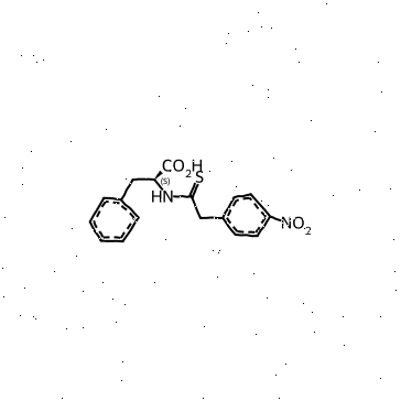 O=C(O)[C@H](Cc1ccccc1)NC(=S)Cc1ccc([N+](=O)[O-])cc1